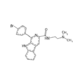 CN(C)CCNC(=O)c1cc2c([nH]c3ccccc32)c(-c2ccc(Br)cc2)n1